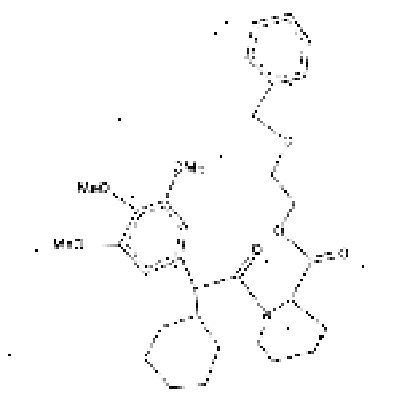 COc1cc(C(C(=O)N2CCCCC2C(=O)OCCOCc2ccccc2)C2CCCCC2)cc(OC)c1OC